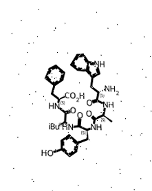 CC[C@H](C)[C@H](NC(=O)[C@H](Cc1ccc(O)cc1)NC(=O)[C@H](C)NC(=O)[C@@H](N)Cc1c[nH]c2ccccc12)C(=O)N[C@@H](Cc1ccccc1)C(=O)O